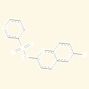 O=S(=O)(Nc1ccc2cc(Cl)ccc2n1)c1cccnc1